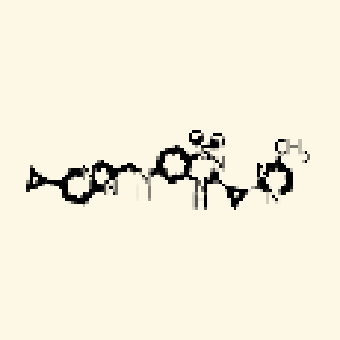 Cc1ccnc([C@@H]2C[C@H]2C2=NS(=O)(=O)c3ccc(NCc4cn5cc(C6CC6)ccc5n4)cc3N2)n1